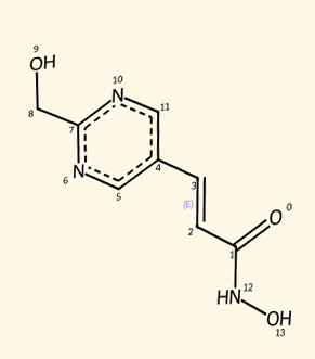 O=C(/C=C/c1cnc(CO)nc1)NO